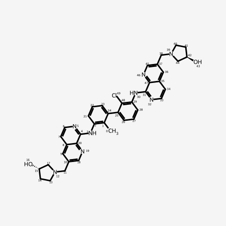 Cc1c(Nc2nccc3cc(CN4CC[C@H](O)C4)cnc23)cccc1-c1cccc(Nc2nccc3cc(CN4CC[C@@H](O)C4)cnc23)c1Cl